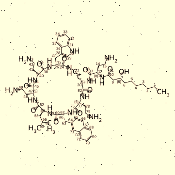 CCCCCCC[C@@H](O)CC(=O)N[C@H](CCN)C(=O)N[C@H]1CCNC(=O)[C@H](Cc2c[nH]c3ccccc23)NC(=O)[C@H](CCN)NC(=O)[C@H](CCN)NC(=O)[C@H](CC(C)C)NC(=O)[C@@H](Cc2ccc3ccccc3c2)NC(=O)[C@H](CCN)NC1=O